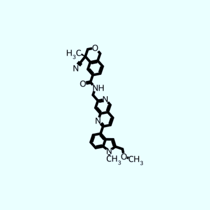 COCc1cc2c(-c3ccc4cnc(CNC(=O)c5ccc6c(c5)[C@](C)(C#N)COC6)cc4n3)cccc2n1C